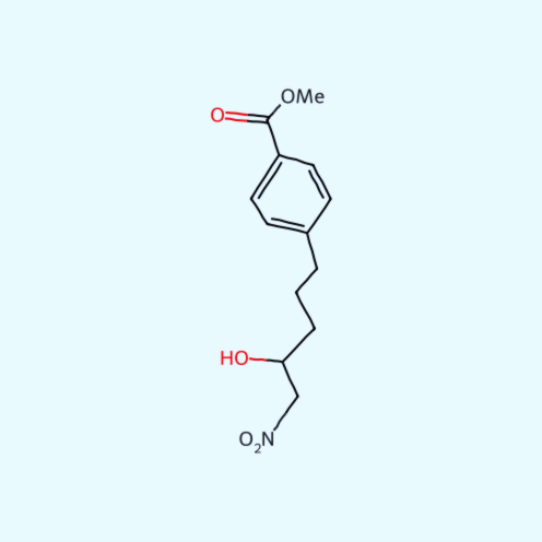 COC(=O)c1ccc(CCCC(O)C[N+](=O)[O-])cc1